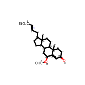 CCOC(=O)/C=C/CC1CCC2C3CC(OC=O)C4=CC(=O)CCC4(C)C3CCC12C